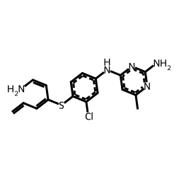 C=C/C=C(\C=C/N)Sc1ccc(Nc2cc(C)nc(N)n2)cc1Cl